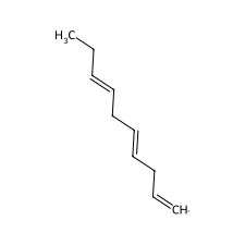 [CH]=CCC=CCC=CCC